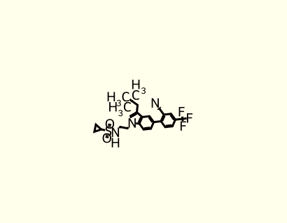 CC(C)(C)Cc1cn(CCNS(=O)(=O)C2CC2)c2ccc(-c3ccc(C(F)(F)F)cc3C#N)cc12